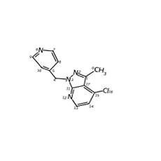 Cc1nn(Cc2ccncc2)c2nccc(Cl)c12